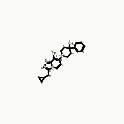 CC1(c2ccccc2)CCN(c2ccn3c(CC4CC4)nnc3c2C(F)(F)F)CC1